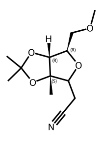 COC[C@H]1OC(CC#N)[C@]2(C)OC(C)(C)O[C@H]12